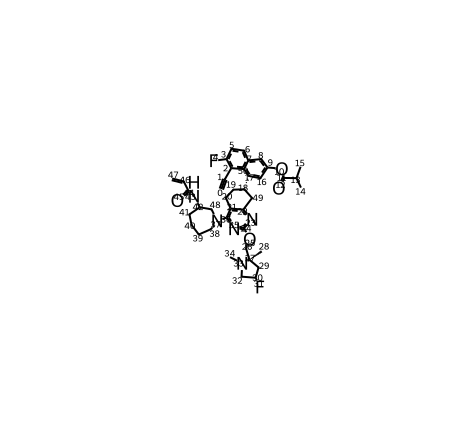 C#Cc1c(F)ccc2cc(OC(=O)C(C)C)cc([C@H]3CCc4c(nc(OC[C@]5(C)C[C@@H](F)CN5C)nc4N4CCCCC(NC(=O)C=C)C4)C3)c12